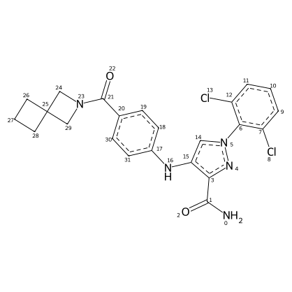 NC(=O)c1nn(-c2c(Cl)cccc2Cl)cc1Nc1ccc(C(=O)N2CC3(CCC3)C2)cc1